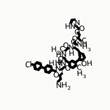 Cc1ccc2cc1-c1cc(ccc1O)C[C@@H](C(=O)N[C@@H](C)C(=O)COC(=O)C1N=CC=CN1)NC(=O)[C@H](C)NC(=O)[C@H]2N(C)C(=O)[C@H](CCCCN)NC(=O)c1ccc(-c2ccc(Cl)cc2)cc1